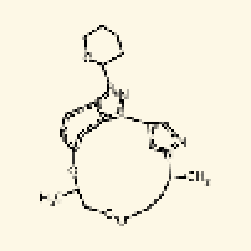 C[C@@H]1CCOCC[C@H](C)n2cc(cn2)-c2nn(C3CCCCO3)c3ccc(cc23)O1